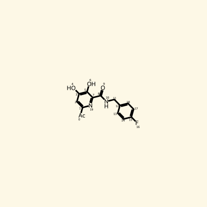 CC(=O)c1cc(O)c(O)c(C(=O)NCc2ccc(F)cc2)n1